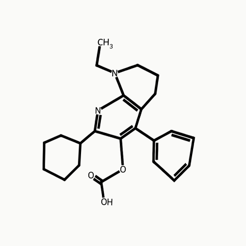 CCN1CCCc2c1nc(C1CCCCC1)c(OC(=O)O)c2-c1ccccc1